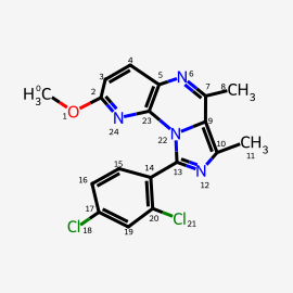 COc1ccc2nc(C)c3c(C)nc(-c4ccc(Cl)cc4Cl)n3c2n1